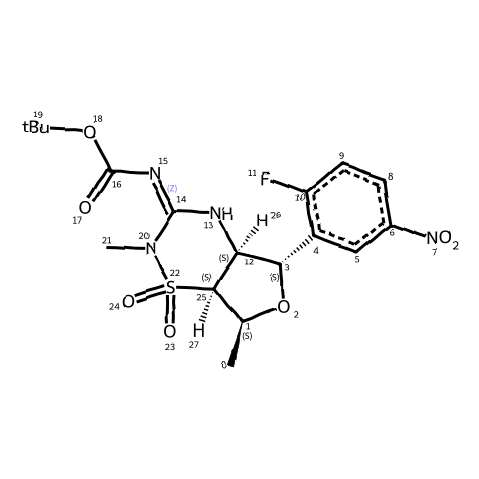 C[C@@H]1O[C@@H](c2cc([N+](=O)[O-])ccc2F)[C@@H]2N/C(=N/C(=O)OC(C)(C)C)N(C)S(=O)(=O)[C@@H]21